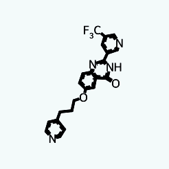 O=c1[nH]c(-c2cncc(C(F)(F)F)c2)nc2ccc(OCCCc3ccncc3)cc12